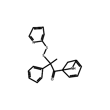 CC(SSc1ccccn1)(C(=O)C12C=CC=C(C1)N2)c1ccccc1